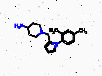 Cc1ccc(-n2cccc2CN2CCC(N)CC2)c(C)c1